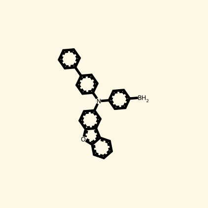 Bc1ccc(N(c2ccc(-c3ccccc3)cc2)c2ccc3oc4ccccc4c3c2)cc1